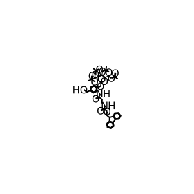 CC(=O)OC[C@H]1O[C@@H](Oc2ccc(CO)cc2NC(=O)CCNC(=O)OCC2c3ccccc3-c3ccccc32)[C@H](OC(C)=O)[C@@H](OC(C)=O)[C@H]1OC(C)=O